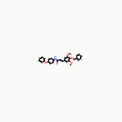 COc1cc(/C=C/C(=O)Nc2ccc(Oc3ccccc3)cc2)cc(OC)c1OCc1ccccc1